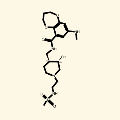 CNc1cc2c(c(C(=O)NC[C@@H]3CCN(CCNS(C)(=O)=O)C[C@H]3O)c1)OCCCO2